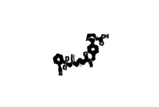 CN(Cc1ccc(C2=NCCN2C(=O)O)cc1)C(=O)/C=C/CNCS(=O)(=O)c1ccccc1C#N